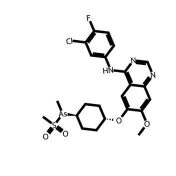 COc1cc2ncnc(Nc3ccc(F)c(Cl)c3)c2cc1O[C@H]1CC[C@H]([As](C)S(C)(=O)=O)CC1